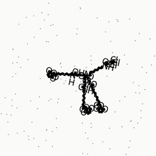 O=C(CCOCC(COCCC(=O)NCCCCCCCC(=O)ON1C(=O)CCC1=O)(COCCC(=O)NCCCCCCCC(=O)ON1C(=O)CCC1=O)NC(=O)CCCCCCCNC(=O)OCC(Cl)(Cl)Cl)NCCCCCCCC(=O)ON1C(=O)CCC1=O